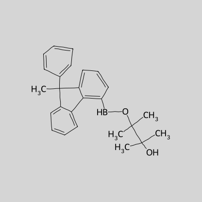 CC1(c2ccccc2)c2ccccc2-c2c(BOC(C)(C)C(C)(C)O)cccc21